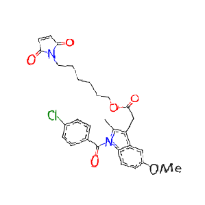 COc1ccc2c(c1)c(CC(=O)OCCCCCCN1C(=O)C=CC1=O)c(C)n2C(=O)c1ccc(Cl)cc1